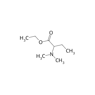 CCOC(=O)C(CC)N(C)C